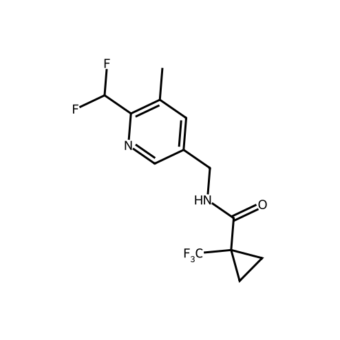 Cc1cc(CNC(=O)C2(C(F)(F)F)CC2)cnc1C(F)F